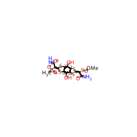 COOSC(C(N)=O)=C1Sc2c(O)c3c(c(O)c2S1)SC(=C(C(N)=O)S(C)(=O)=O)S3